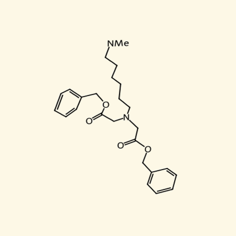 CNCCCCCCN(CC(=O)OCc1ccccc1)CC(=O)OCc1ccccc1